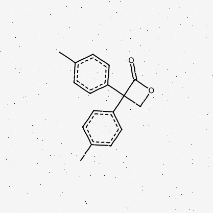 Cc1ccc(C2(c3ccc(C)cc3)COC2=O)cc1